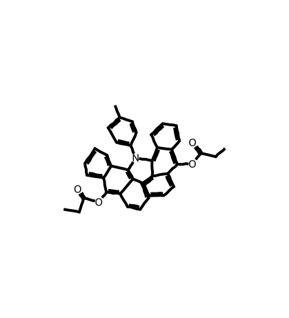 CCC(=O)Oc1c2ccccc2c(N(c2ccc(C)cc2)c2c3ccccc3c(OC(=O)CC)c3ccccc23)c2ccccc12